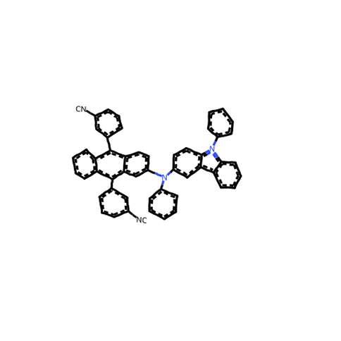 [C-]#[N+]c1cccc(-c2c3ccccc3c(-c3cccc([N+]#[C-])c3)c3cc(N(c4ccccc4)c4ccc5c(c4)c4ccccc4n5-c4ccccc4)ccc23)c1